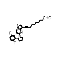 O=CCCCCCCCC#Cc1cnn2ccc(N3CCC[C@@H]3c3cc(F)ccc3F)nc12